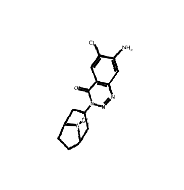 CN1C2CCC1CC(n1nnc3cc(N)c(Cl)cc3c1=O)C2